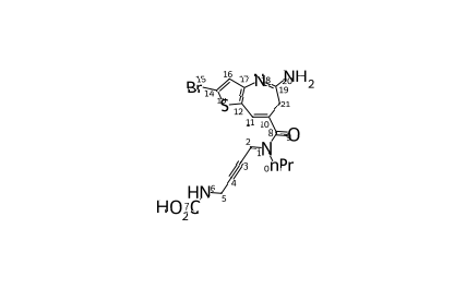 CCCN(CC#CCNC(=O)O)C(=O)C1=Cc2sc(Br)cc2N=C(N)C1